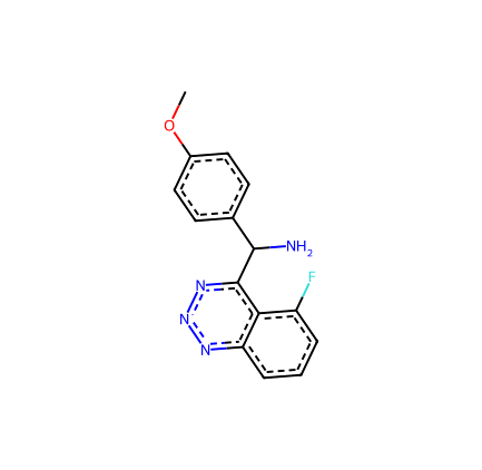 COc1ccc(C(N)c2nnnc3cccc(F)c23)cc1